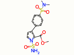 COC(=O)c1c(-c2ccc(S(=O)(=O)N(C)C)cc2)ccn1S(N)(=O)=O